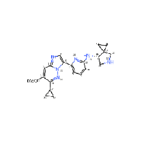 COc1cc2ncc(-c3cccc(N[C@H]4CNCC45CC5)n3)n2nc1C1CC1